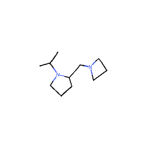 CC(C)N1CCCC1CN1CCC1